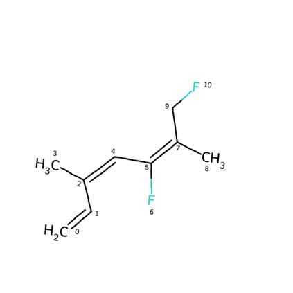 C=C/C(C)=C\C(F)=C(\C)CF